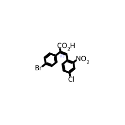 O=C(O)/C(=C/c1ccc(Cl)cc1[N+](=O)[O-])c1ccc(Br)cc1